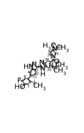 CCc1cc(O)c(F)cc1-c1ccc2c(-c3nc4c([nH]3)CN(C(C)C)[C@H](C(=O)N3CC[C@H](N(C)C)C3)C4)n[nH]c2c1